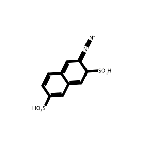 [N-]=[N+]=C1C=c2ccc(S(=O)(=O)O)cc2=CC1S(=O)(=O)O